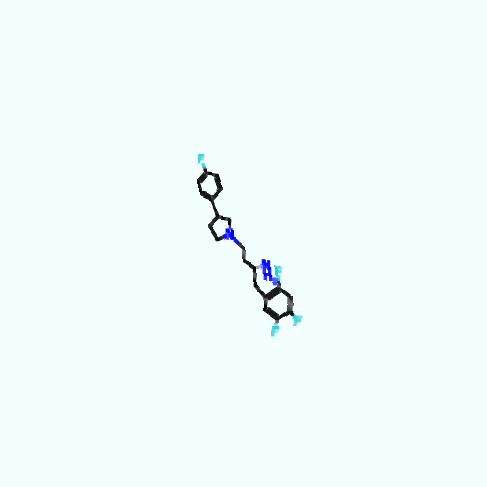 N[C@@H](CCN1CCC(c2ccc(F)cc2)C1)Cc1cc(F)c(F)cc1F